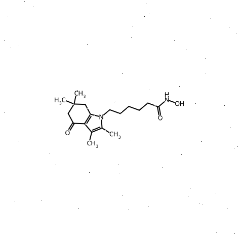 Cc1c2c(n(CCCCCC(=O)NO)c1C)CC(C)(C)CC2=O